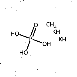 C.O=P(O)(O)O.[KH].[KH]